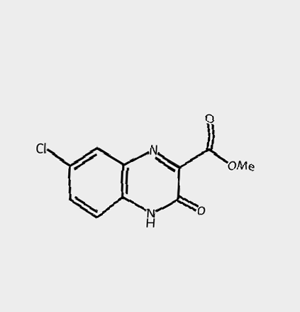 COC(=O)c1nc2cc(Cl)ccc2[nH]c1=O